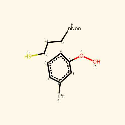 CC(C)c1cccc(OO)c1.CCCCCCCCCCCCS